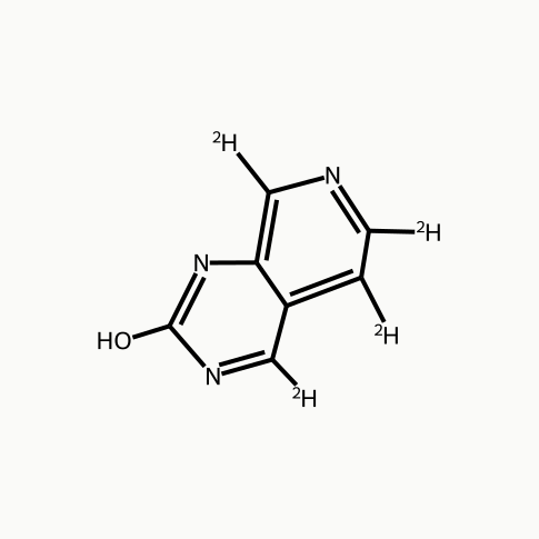 [2H]c1nc([2H])c2nc(O)nc([2H])c2c1[2H]